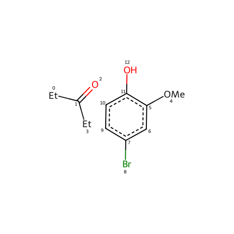 CCC(=O)CC.COc1cc(Br)ccc1O